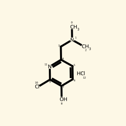 CN(C)Cc1ccc(O)c(Cl)n1.Cl